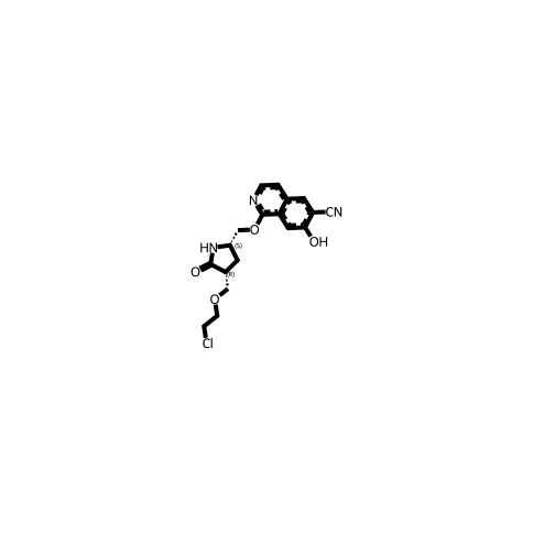 N#Cc1cc2ccnc(OC[C@@H]3C[C@H](COCCCl)C(=O)N3)c2cc1O